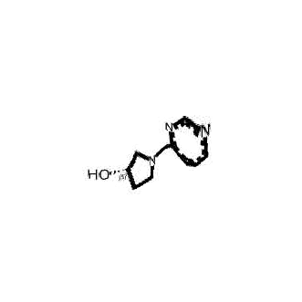 O[C@H]1CCN(c2ccncn2)C1